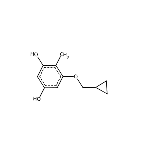 Cc1c(OCC2CC2)[c]c(O)cc1O